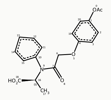 CC(=O)Oc1ccc(OCC(=O)N(c2ccccc2)[C@@H](C)C(=O)O)cc1